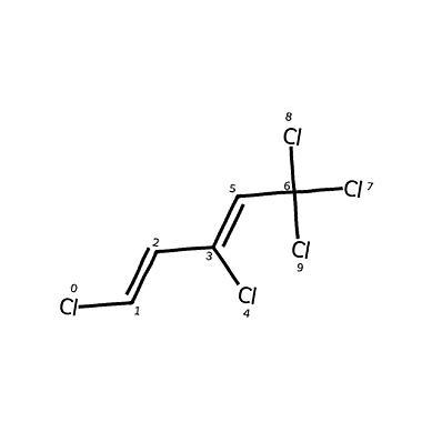 ClC=CC(Cl)=CC(Cl)(Cl)Cl